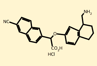 Cl.N#Cc1ccc2cc(C(Oc3ccc4c(c3)C(CN)CCC4)C(=O)O)ccc2c1